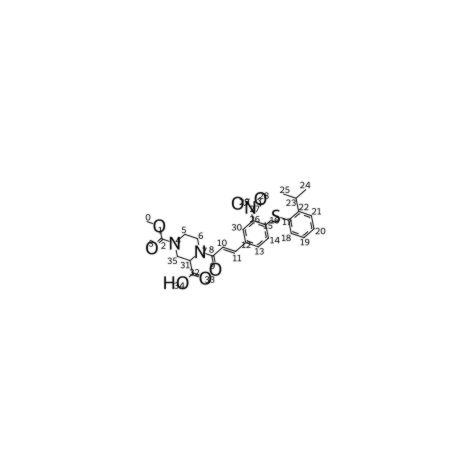 COC(=O)N1CCN(C(=O)C=Cc2ccc(Sc3ccccc3C(C)C)c([N+](=O)[O-])c2)C(C(=O)O)C1